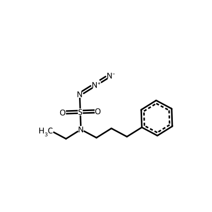 CCN(CCCc1ccccc1)S(=O)(=O)N=[N+]=[N-]